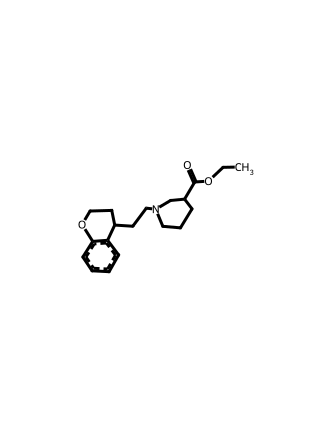 CCOC(=O)C1CCCN(CCC2CCOc3ccccc32)C1